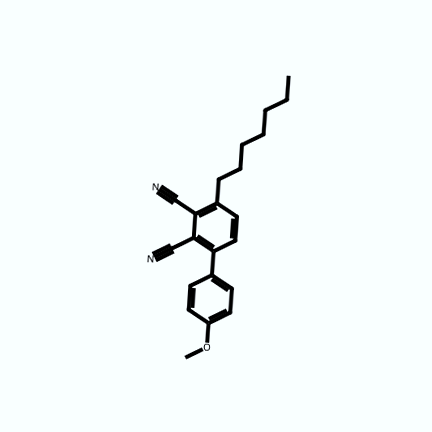 CCCCCCCc1ccc(-c2ccc(OC)cc2)c(C#N)c1C#N